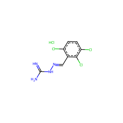 Cl.N=C(N)N/N=C/c1c(Cl)ccc(Cl)c1Cl